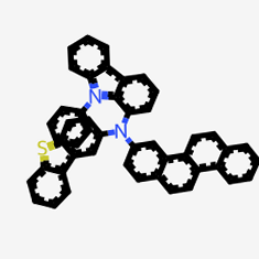 c1ccc(-n2c3ccccc3c3cccc(N(c4ccc5ccc6c7ccccc7ccc6c5c4)c4ccc5sc6ccccc6c5c4)c32)cc1